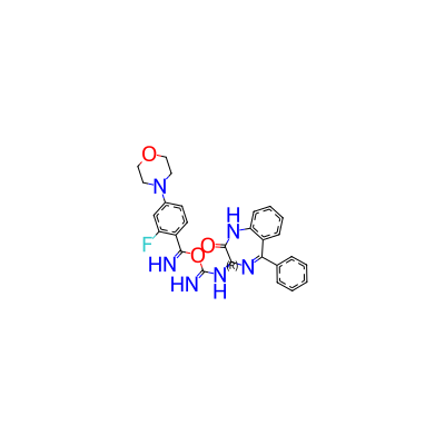 N=C(N[C@@H]1N=C(c2ccccc2)c2ccccc2NC1=O)OC(=N)c1ccc(N2CCOCC2)cc1F